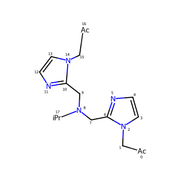 CC(=O)Cn1ccnc1CN(Cc1nccn1CC(C)=O)C(C)C